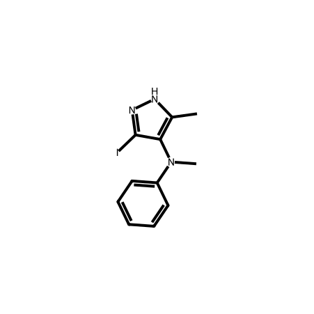 Cc1[nH]nc(I)c1N(C)c1ccccc1